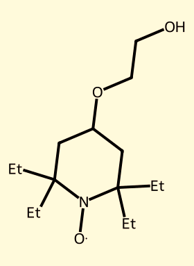 CCC1(CC)CC(OCCO)CC(CC)(CC)N1[O]